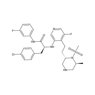 C[C@H]1CNC[C@H](CCc2c(F)cncc2N[C@@H](Cc2ccc(Cl)cc2)C(=O)Nc2cccc(F)c2)N1S(C)(=O)=O